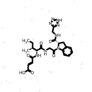 CC[C@H](C)[C@H](NC(=O)/C=C/C(=O)O)C(=O)NCC(=O)N1c2ccccc2C[C@H]1C(=O)NCc1nn[nH]n1